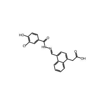 O=C(O)Cc1ccc(C=NNC(=O)c2ccc(O)c(Cl)c2)c2ccccc12